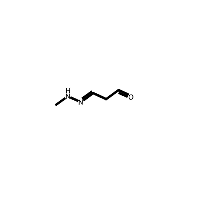 CNN=CCC=O